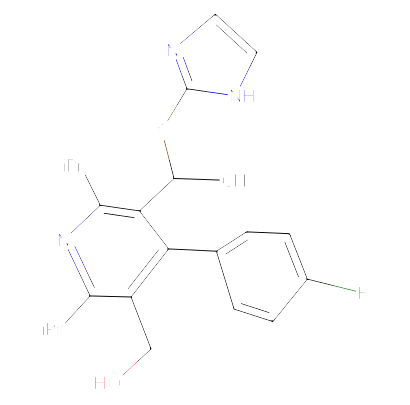 CC(C)c1nc(C(C)C)c(C(C)Sc2ncc[nH]2)c(-c2ccc(F)cc2)c1CO